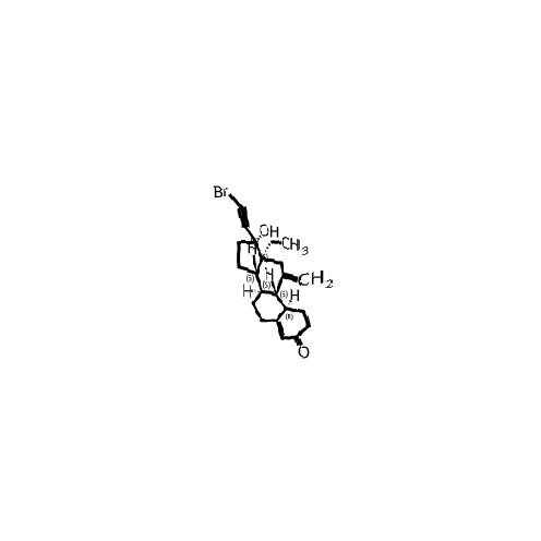 C=C1C[C@@]2(CC)[C@@H](CC[C@@]2(O)C#CBr)[C@@H]2CCC3=CC(=O)CC[C@@H]3[C@@H]12